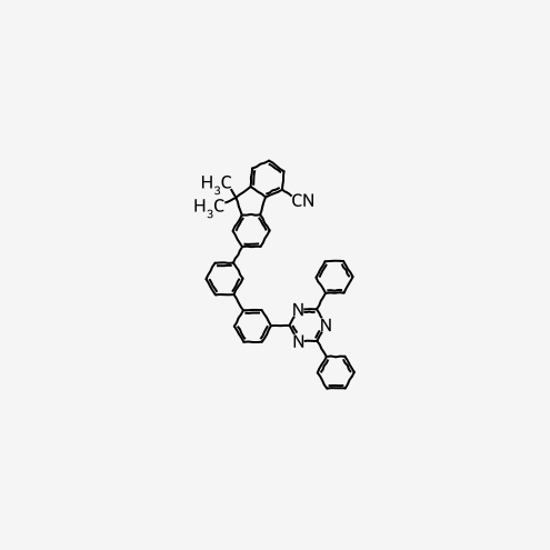 CC1(C)c2cc(-c3cccc(-c4cccc(-c5nc(-c6ccccc6)nc(-c6ccccc6)n5)c4)c3)ccc2-c2c(C#N)cccc21